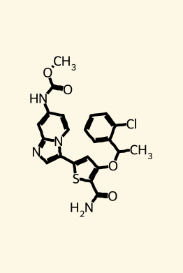 COC(=O)Nc1ccn2c(-c3cc(OC(C)c4ccccc4Cl)c(C(N)=O)s3)cnc2c1